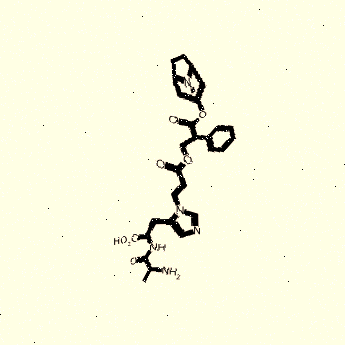 CC(N)C(=O)NC(Cc1cncn1CCC(=O)OCC(C(=O)OC1CC2CCC(C1)N2C)c1ccccc1)C(=O)O